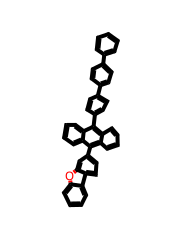 c1ccc(-c2ccc(-c3ccc(-c4c5ccccc5c(-c5ccc6c(c5)oc5ccccc56)c5ccccc45)cc3)cc2)cc1